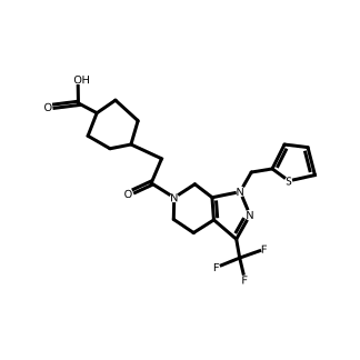 O=C(O)C1CCC(CC(=O)N2CCc3c(C(F)(F)F)nn(Cc4cccs4)c3C2)CC1